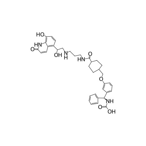 O=C(O)N[C@@H](c1ccccc1)c1cccc(OCC2CCC(C(=O)NCCCNCC(O)c3ccc(O)c4[nH]c(=O)ccc34)CC2)c1